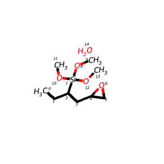 CCC(CC1CO1)[Si](OC)(OC)OC.O